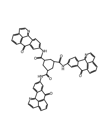 O=C1c2cc(NC(=O)C3CC(C(=O)Nc4ccc5c(c4)C(=O)c4cccc6ccnc-5c46)CC(C(=O)Nc4ccc5c(c4)C(=O)c4cccc6ccnc-5c46)C3)ccc2-c2nccc3cccc1c23